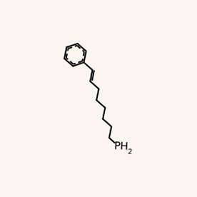 PCCCCCCC=Cc1ccccc1